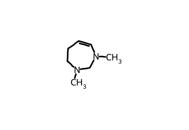 CN1C=CCCN(C)C1